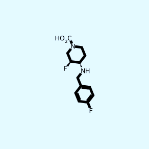 O=C(O)N1CC[C@H](NCc2ccc(F)cc2)[C@@H](F)C1